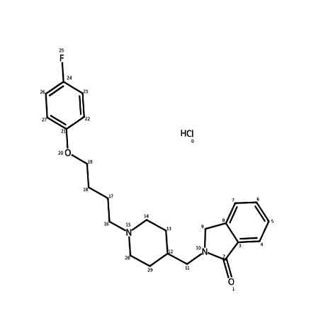 Cl.O=C1c2ccccc2CN1CC1CCN(CCCCOc2ccc(F)cc2)CC1